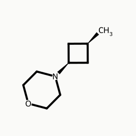 C[C@H]1C[C@@H](N2CCOCC2)C1